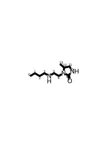 CCCCNCCN1C(=O)NCC1C